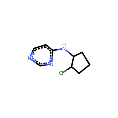 ClC1CCCC1Nc1ccncn1